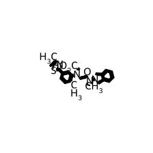 Cc1csc(-c2ccc(C)c(N(CC(=O)O)CC(=O)N(C)N3Cc4ccccc4C3)c2)n1